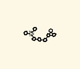 c1ccc(-c2nc(-c3ccccc3)nc(-c3cccc(-c4ccc(-c5cccc(-c6ccc7c(c6)-c6ccccc6C76CCCCC6)c5)cc4)c3)n2)cc1